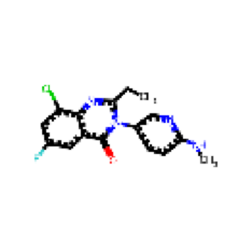 CCc1nc2c(Cl)cc(F)cc2c(=O)n1-c1ccc(NC)nc1